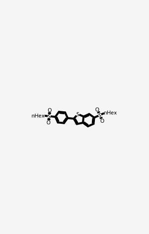 CCCCCCS(=O)(=O)c1ccc(-c2[c]c3ccc(S(=O)(=O)CCCCCC)cc3s2)cc1